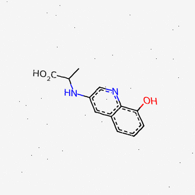 CC(Nc1cnc2c(O)cccc2c1)C(=O)O